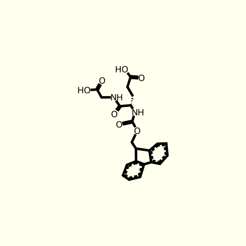 O=C(O)CC[C@H](NC(=O)OCC1c2ccccc2-c2ccccc21)C(=O)NCC(=O)O